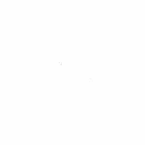 C[C](C)=[Zr]([C]1=CC=CC1)[CH]1c2ccccc2-c2c1c1ccccc1n2-c1ccccc1